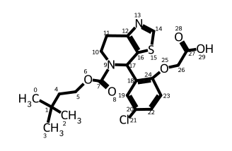 CC(C)(C)CCOC(=O)N1CCc2ncsc2C1c1cc(Cl)ccc1OCC(=O)O